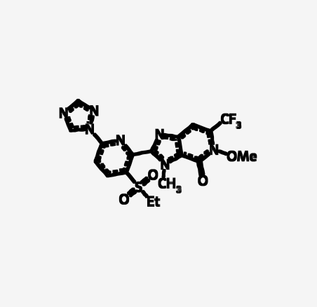 CCS(=O)(=O)c1ccc(-n2cncn2)nc1-c1nc2cc(C(F)(F)F)n(OC)c(=O)c2n1C